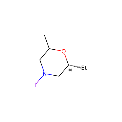 CC[C@@H]1CN(I)CC(C)O1